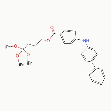 CC(C)O[Si](CCCOC(=O)c1ccc(Nc2ccc(-c3ccccc3)cc2)cc1)(OC(C)C)OC(C)C